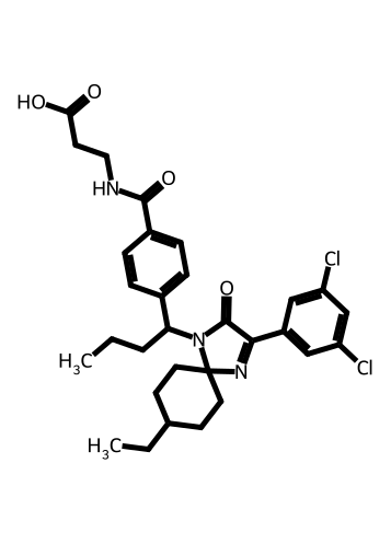 CCCC(c1ccc(C(=O)NCCC(=O)O)cc1)N1C(=O)C(c2cc(Cl)cc(Cl)c2)=NC12CCC(CC)CC2